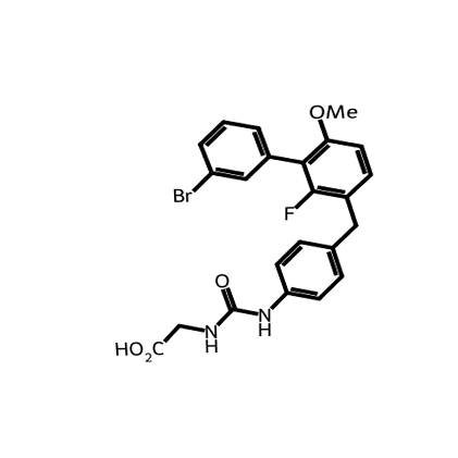 COc1ccc(Cc2ccc(NC(=O)NCC(=O)O)cc2)c(F)c1-c1cccc(Br)c1